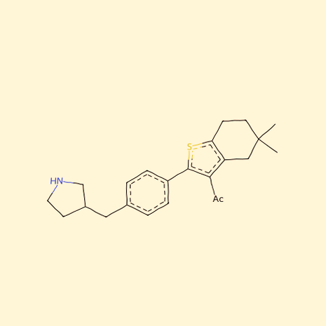 CC(=O)c1c(-c2ccc(CC3CCNC3)cc2)sc2c1CC(C)(C)CC2